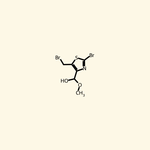 COC(O)c1nc(Br)sc1CBr